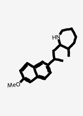 COc1ccc2cc(C(C)CC3NCCCCC3C)ccc2c1